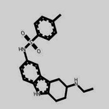 CCNC1CCc2[nH]c3ccc(NS(=O)(=O)c4ccc(C)cc4)cc3c2C1